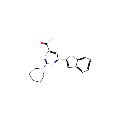 NC(=O)c1cc(-c2cc3ccccc3s2)nc(N2CCCCC2)n1